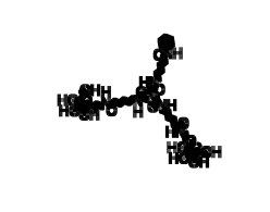 O=C(CCCCCNC(=O)CN(CC(=O)NCCCCCC(=O)NCCO[C@H]1O[C@H](CO)[C@@H](O)[C@H](O)[C@@H]1O)CC(=O)NCCCCCC(=O)Nc1ccccc1)NCCO[C@H]1O[C@H](CO)[C@@H](O)[C@H](O)[C@@H]1O